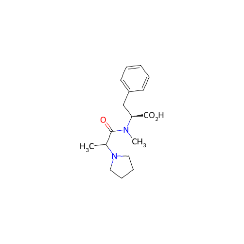 CC(C(=O)N(C)[C@@H](Cc1ccccc1)C(=O)O)N1CCCC1